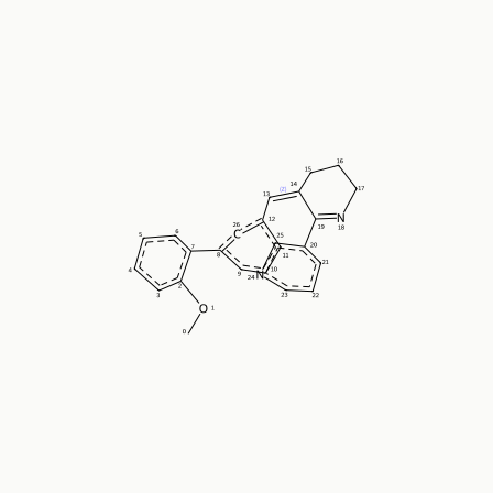 COc1ccccc1-c1cccc(/C=C2/CCCN=C2c2cccnc2)c1